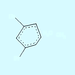 CC(C)c1cccc(C(C)C)c1.O.O